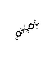 COc1ccc2nc(NC(=O)c3ccc(NC(C)=O)cc3)sc2c1